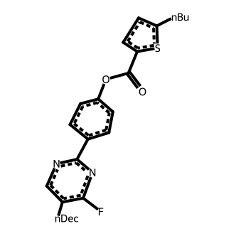 CCCCCCCCCCc1cnc(-c2ccc(OC(=O)c3ccc(CCCC)s3)cc2)nc1F